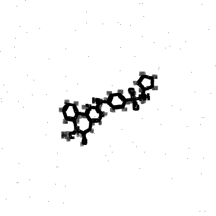 CN1C(=O)Cc2cnc(Nc3ccc(S(=O)(=O)NC4CCCC4)cc3)nc2-c2ccccc21